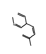 C=CC(/C=C\C(=C)C)/C=N\C